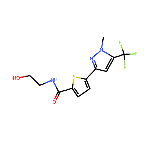 Cn1nc(-c2ccc(C(=O)NCCO)s2)cc1C(F)(F)F